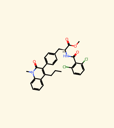 CCCc1c(-c2ccc(C[C@H](NC(=O)c3c(Cl)cccc3Cl)C(=O)OC)cc2)c(=O)n(C)c2ccccc12